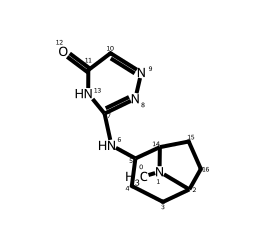 CN1C2CCC(Nc3nncc(=O)[nH]3)C1CC2